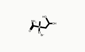 CC[N+](C)(CC(O)O)C(N)=O.[Br-]